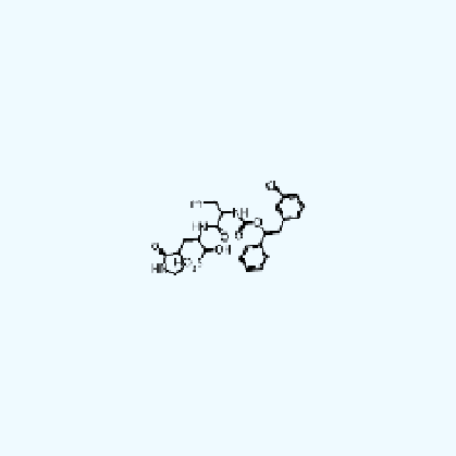 CC(C)CC(NC(=O)OC(Cc1cccc(Cl)c1)c1ccccc1)C(=O)NC(CC1CCNC1=O)C(O)S(=O)(=O)O